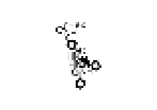 CCCCCCC(=O)NCc1ccc(C(=O)NC2=NN(c3ccccc3)C(NC(=O)c3ccccc3)N2)cc1